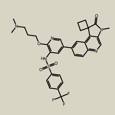 CN(C)CCCOc1ncc(-c2ccc3ncc4c(c3c2)C2(CCC2)C(=O)N4C)cc1NS(=O)(=O)c1ccc(C(F)(F)F)cc1